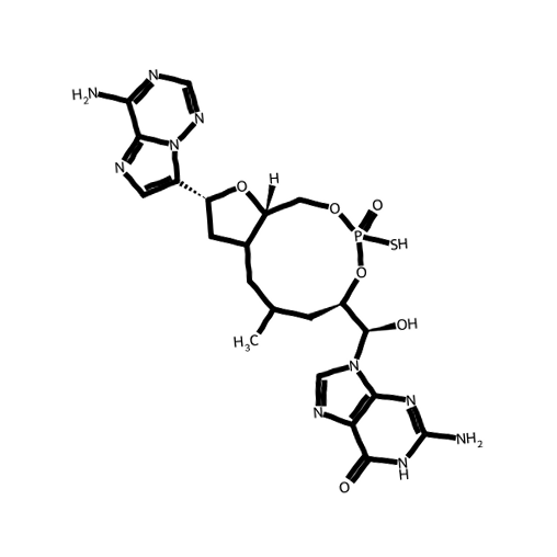 CC1CC2C[C@H](c3cnc4c(N)ncnn34)O[C@@H]2COP(=O)(S)O[C@@H]([C@@H](O)n2cnc3c(=O)[nH]c(N)nc32)C1